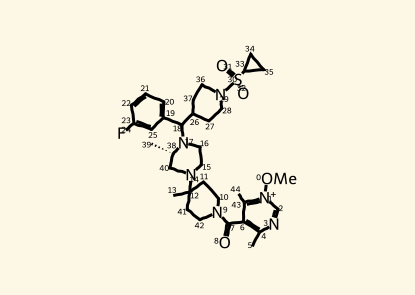 CO[n+]1cnc(C)c(C(=O)N2CCC(C)(N3CCN(C(c4cccc(F)c4)C4CCN(S(=O)(=O)C5CC5)CC4)[C@@H](C)C3)CC2)c1C